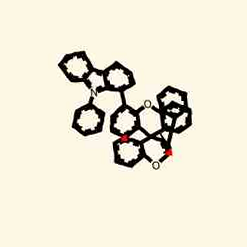 c1ccc(-c2cccc3c2C2(c4ccccc4O3)c3ccccc3Oc3c(-c4cccc5c6ccccc6n(-c6ccccc6)c45)cccc32)cc1